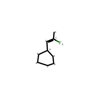 CC(F)=CC1CCCCC1